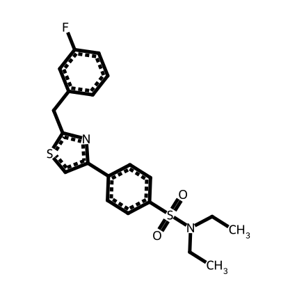 CCN(CC)S(=O)(=O)c1ccc(-c2csc(Cc3cccc(F)c3)n2)cc1